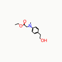 CCOC(=O)CN(C)c1ccc(CCO)cc1